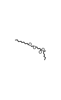 CCCCCCCCCOCCOCCCC(=O)OC(C)CCCCC